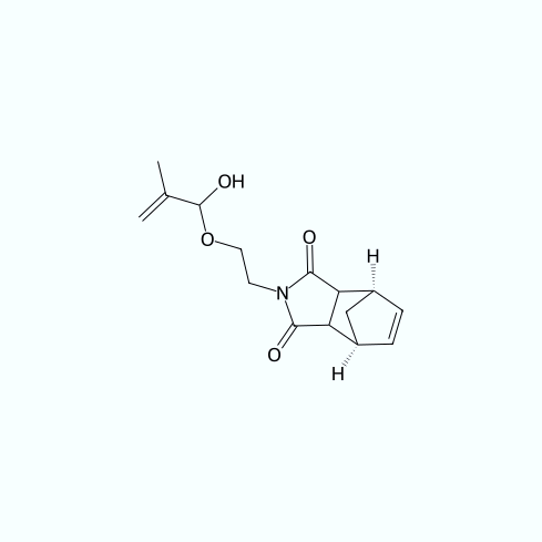 C=C(C)C(O)OCCN1C(=O)C2C(C1=O)[C@H]1C=C[C@@H]2C1